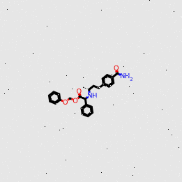 C[C@H](CCc1ccc(C(N)=O)cc1)NC(C(=O)OCOc1ccccc1)c1ccccc1